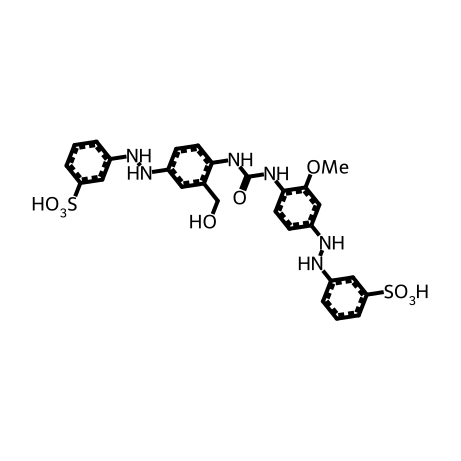 COc1cc(NNc2cccc(S(=O)(=O)O)c2)ccc1NC(=O)Nc1ccc(NNc2cccc(S(=O)(=O)O)c2)cc1CO